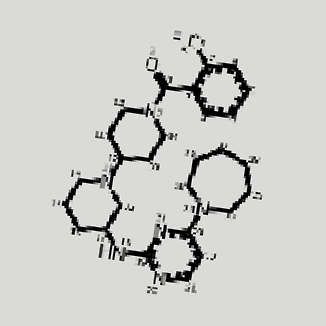 O=C(c1ccccc1C(F)(F)F)N1CCC(N2CCCC(Nc3nccc(N4CCCCCC4)n3)C2)CC1